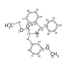 CCOC(=O)C(Cc1cccc(OC)c1)N=C(c1ccccc1)c1ccccc1